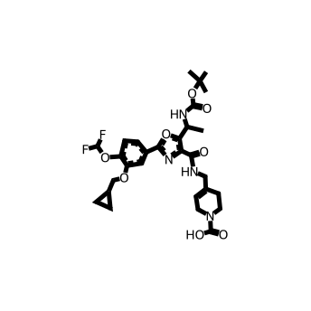 CC(NC(=O)OC(C)(C)C)c1oc(-c2ccc(OC(F)F)c(OCC3CC3)c2)nc1C(=O)NCC1=CCN(C(=O)O)CC1